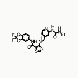 CCNC(=O)Nc1cc(CNc2ncsc2C(=O)Nc2ccc3c(c2)OC(F)(F)O3)ccn1